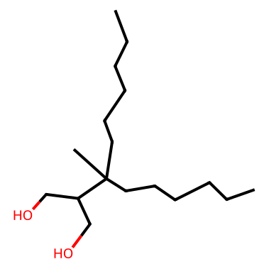 CCCCCCC(C)(CCCCCC)C(CO)CO